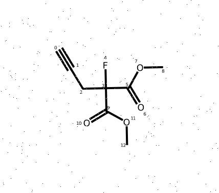 C#CCC(F)(C(=O)OC)C(=O)OC